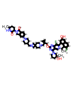 C=C1CCC(N2Cc3cc(N4CCC(CN5CC6(CCN(CC7(COc8nc(N9CCC[C@@](C)(O)C9)c9cnc(-c%10cc(O)cc%11ccc(F)c(CC)c%10%11)c(F)c9n8)CC7)CC6)C5)CC4)ccc3C2=O)C(=O)N1